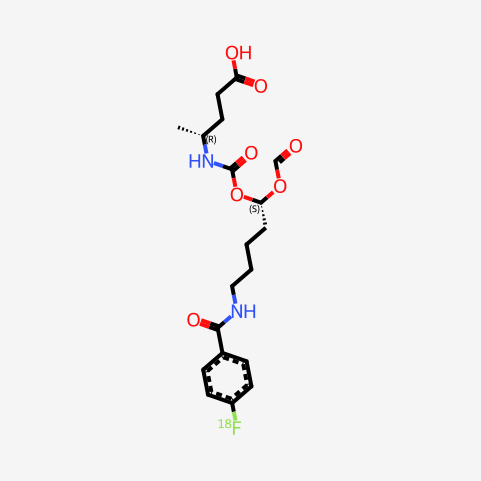 C[C@H](CCC(=O)O)NC(=O)O[C@@H](CCCCNC(=O)c1ccc([18F])cc1)OC=O